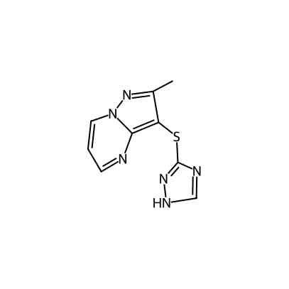 Cc1nn2cccnc2c1Sc1nc[nH]n1